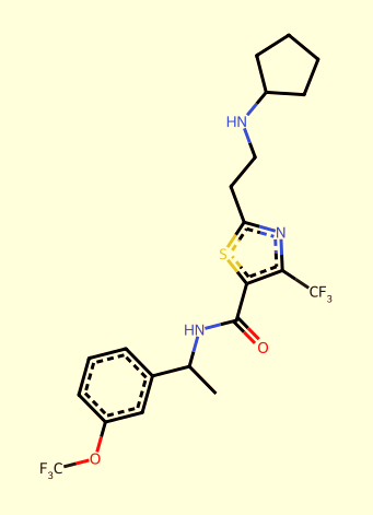 CC(NC(=O)c1sc(CCNC2CCCC2)nc1C(F)(F)F)c1cccc(OC(F)(F)F)c1